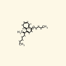 C=C(CCCCC)c1ccc(OCCCC)c2c1=CCC=CC=2